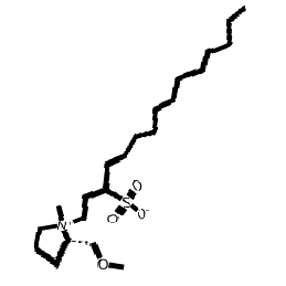 CCCCCCCCCCCCC(CC[N+]1(C)CCC[C@H]1COC)S(=O)(=O)[O-]